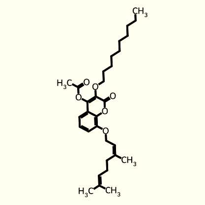 CCCCCCCCCCOc1c(OC(C)=O)c2cccc(OCC=C(C)CCC=C(C)C)c2oc1=O